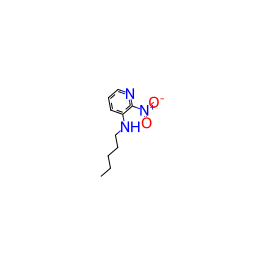 CCCCCNc1cccnc1[N+](=O)[O-]